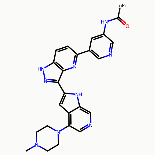 CCCC(=O)Nc1cncc(-c2ccc3[nH]nc(-c4cc5c(N6CCN(C)CC6)cncc5[nH]4)c3n2)c1